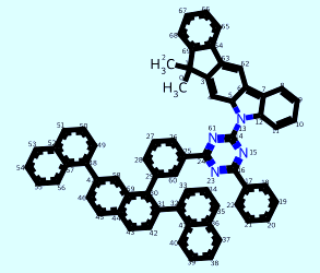 CC1(C)C2=CC3C(=C4C=CC=CC4N3c3nc(-c4ccccc4)nc(-c4cccc(-c5c(-c6cccc7ccccc67)ccc6ccc(-c7cccc8ccccc78)cc56)c4)n3)C=C2c2ccccc21